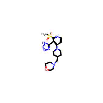 CS(=O)(=O)c1nccc(N2CCC(CN3CCOCC3)CC2)c1-c1nnn[nH]1